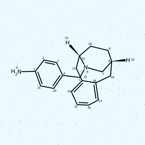 Nc1ccc(CN2C[C@@H]3CC[C@H]2Cc2ccccc2C3)cc1